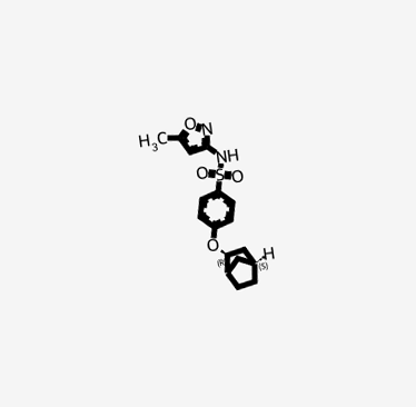 Cc1cc(NS(=O)(=O)c2ccc(O[C@@H]3C[C@H]4CCC3C4)cc2)no1